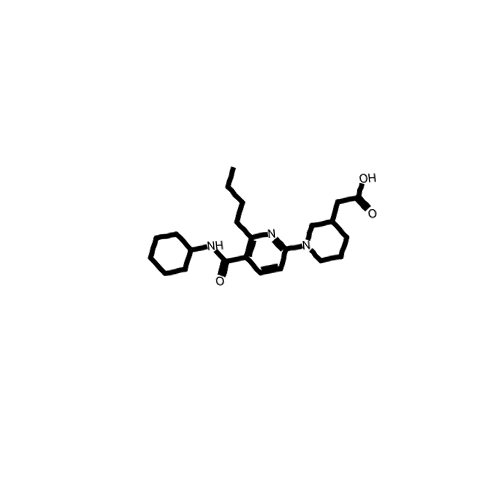 CCCCc1nc(N2CCCC(CC(=O)O)C2)ccc1C(=O)NC1CCCCC1